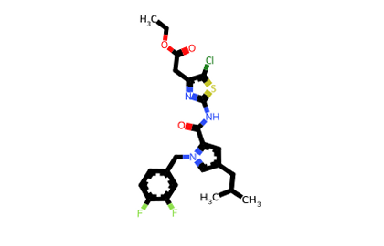 CCOC(=O)Cc1nc(NC(=O)c2cc(CC(C)C)cn2Cc2ccc(F)c(F)c2)sc1Cl